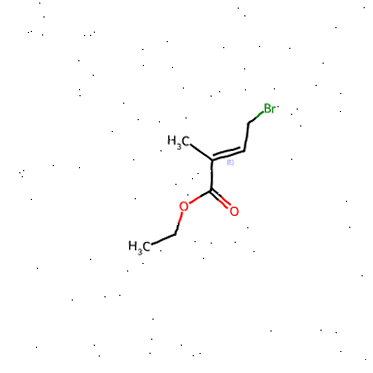 CCOC(=O)/C(C)=C/CBr